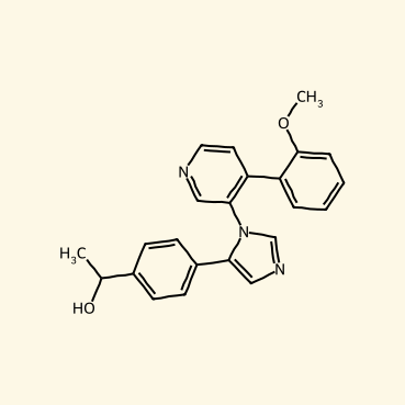 COc1ccccc1-c1ccncc1-n1cncc1-c1ccc(C(C)O)cc1